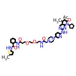 CC(=O)c1c(C)c2cnc(Nc3ccc(N4CCN(CC(=O)NCCOCCOCCC(=O)Nc5ccccc5C(=O)Nc5ccc(C)s5)CC4)cn3)nc2n(C2CCCC2)c1=O